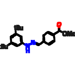 COC(=O)c1ccc(/C=N/Nc2cc(C(C)(C)C)cc(C(C)(C)C)c2)cc1